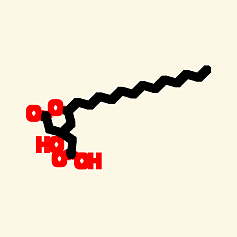 CCCCCCCCCCCCCC1CC(O)(CC(=O)O)CC(=O)O1